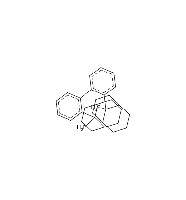 PC1(c2ccccc2-c2ccccc2C2(P)C3CCCC2CCC3)C2CCCC1CCC2